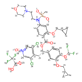 CS(=O)(=O)N(CCN1CCOCC1)c1ccc(C(=O)O[C@@H](Cc2c(Cl)c[n+]([O-])cc2Cl)c2ccc(OC(F)F)c(OCC3CC3)c2)c(OCC2CC2)c1.O=C(O)C(F)(F)F